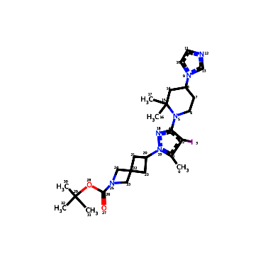 Cc1c(I)c(N2CCC(n3ccnc3)CC2(C)C)nn1C1CC2(C1)CN(C(=O)OC(C)(C)C)C2